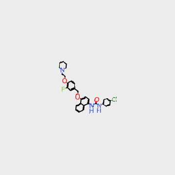 O=C(Nc1ccc(Cl)cc1)Nc1ccc(OCc2ccc(OCCN3CCCCC3)c(F)c2)c2ccccc12